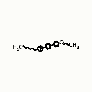 C/C=C/COc1ccc(-c2ccc(C34CCC(CCCCCCC)(CC3)CC4)cc2)cc1